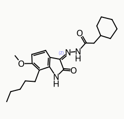 CCCCCc1c(OC)ccc2c1NC(=O)/C2=N\NC(=O)CC1CCCCC1